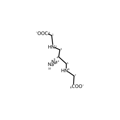 O=C([O-])CNCCCNCC(=O)[O-].[Na+].[Na+]